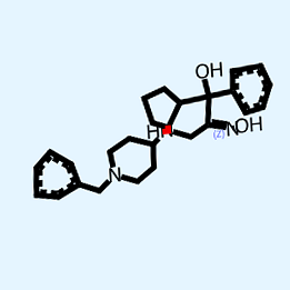 O/N=C(/CNC1CCN(Cc2ccccc2)CC1)C(O)(c1ccccc1)C1CCCC1